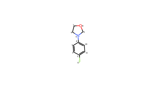 Fc1ccc(N2C[C]OC2)cc1